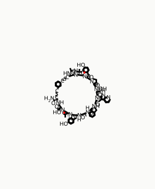 CC(=O)N[C@H]1CSCc2cccc(c2)CSC[C@H](C(N)=O)NC(=O)[C@H]([C@@H](C)O)NC(=O)[C@](C)(C(C)C)NC(=O)[C@H](Cc2ccc(O)cc2)NC(=O)[C@H](C)NC(=O)[C@]2(CCc3ccccc32)NC(=O)[C@H](Cc2c[nH]c3ncccc23)NC(=O)[C@H]([C@@H](C)O)NC(=O)[C@@H]2CCCN2C(=O)[C@H](Cc2ccc(O)cc2)NC(=O)[C@H](C(C)(C)C)NC1=O